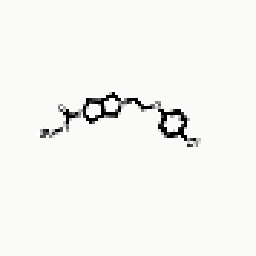 CC(C)(C)OC(=O)N1CC2CN(CCOc3ccc(C#N)cc3)CC2C1